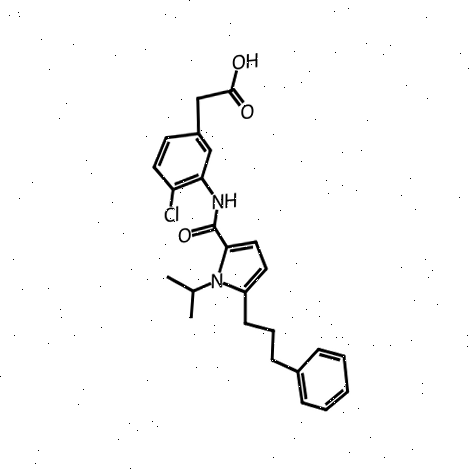 CC(C)n1c(CCCc2ccccc2)ccc1C(=O)Nc1cc(CC(=O)O)ccc1Cl